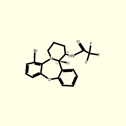 O=C(N[C@@H]1CCCN2c3c(Br)cccc3Oc3ccccc3[C@@H]12)C(F)(F)F